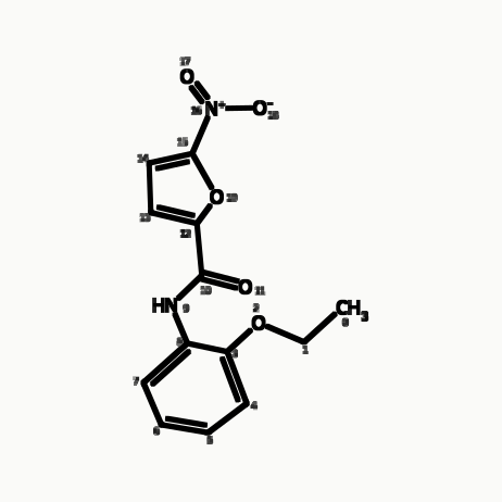 CCOc1ccccc1NC(=O)c1ccc([N+](=O)[O-])o1